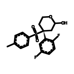 Cc1ccc(S(=O)(=O)[C@@]2(c3cc(F)ccc3F)CCOC(O)C2)cc1